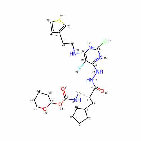 O=C(NC[C@@H](CC1CCCC1)C(=O)NNc1nc(Cl)nc(NCCc2ccsc2)c1F)OC1CCCCO1